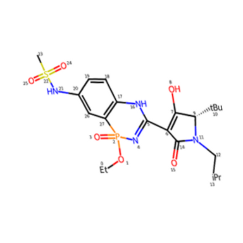 CCOP1(=O)N=C(C2=C(O)[C@H](C(C)(C)C)N(CC(C)C)C2=O)Nc2ccc(NS(C)(=O)=O)cc21